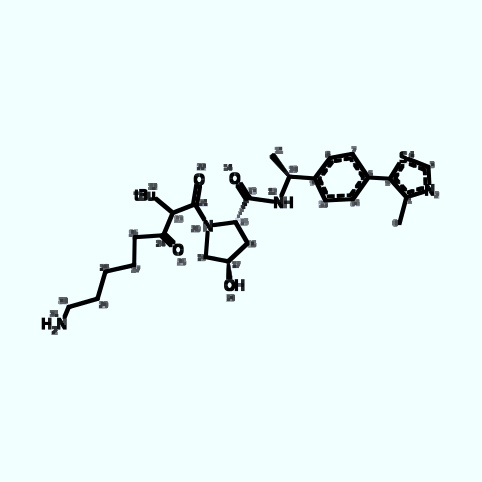 Cc1ncsc1-c1ccc([C@H](C)NC(=O)[C@@H]2C[C@@H](O)CN2C(=O)C(C(=O)CCCCCN)C(C)(C)C)cc1